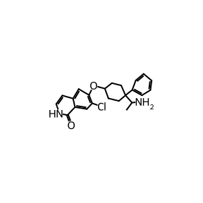 CC(N)C1(c2ccccc2)CCC(Oc2cc3cc[nH]c(=O)c3cc2Cl)CC1